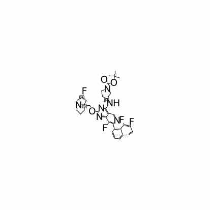 CC(C)(C)OC(=O)N1CC[C@@H](Nc2nc(OC[C@@]34CCCN3C[C@H](F)C4)nc3c(F)c(-c4cccc5ccc(F)c(F)c45)ncc23)C1